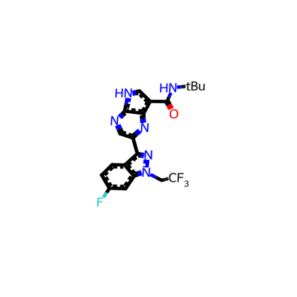 CC(C)(C)NC(=O)c1c[nH]c2ncc(-c3nn(CC(F)(F)F)c4cc(F)ccc34)nc12